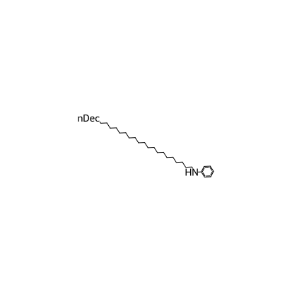 CCCCCCCCCCCCCCCCCCCCCCCCCCCCCCNc1ccccc1